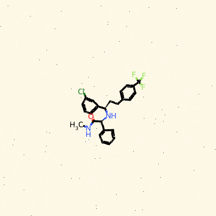 CNC(=O)[C@@H](N[C@H](CCc1ccc(C(F)(F)F)cc1)c1cccc(Cl)c1)c1ccccc1